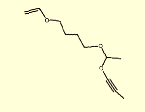 C=COCCCCOC(C)OC#CC